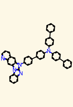 c1ccc(-c2ccc(N(c3ccc(-c4ccccc4)cc3)c3ccc(-c4ccc(-n5c6cc7cccnc7cc6n6c7ccccc7nc56)cc4)cc3)cc2)cc1